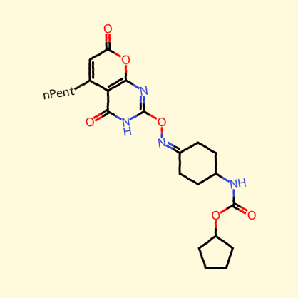 CCCCCc1cc(=O)oc2nc(ON=C3CCC(NC(=O)OC4CCCC4)CC3)[nH]c(=O)c12